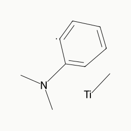 CN(C)c1[c]cccc1.[CH3][Ti]